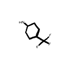 [NH]C1CCC(C(F)(F)F)CC1